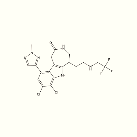 Cn1ncc(-c2cc(Cl)c(Cl)c3[nH]c4c(c23)CC(=O)NCC4CCNCC(F)(F)F)n1